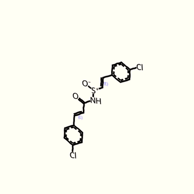 O=C(/C=C/c1ccc(Cl)cc1)N[S+]([O-])/C=C/c1ccc(Cl)cc1